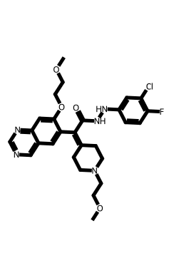 COCCOc1cc2ncncc2cc1C(C(=O)NNc1ccc(F)c(Cl)c1)=C1CCN(CCOC)CC1